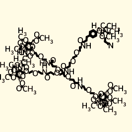 CC(=O)N[C@H]1[C@H](OCCOCCNCC(=O)CCOCC(COCCC(=O)NCCOCCO[C@@H]2O[C@H](COC(C)=O)[C@H](OC(C)=O)[C@H](OC(C)=O)[C@H]2NC(C)=O)(COCCC(=O)NCCOCCO[C@@H]2O[C@H](COC(C)=O)[C@H](OC(C)=O)[C@H](OC(C)=O)[C@H]2NC(C)=O)NC(=O)CCOCCOCCNC(=O)CCc2ccc(OP(OCCC#N)N(C(C)C)C(C)C)cc2)O[C@H](COC(C)=O)[C@H](OC(C)=O)[C@@H]1OC(C)=O